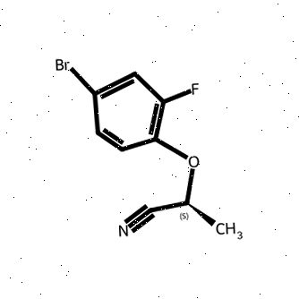 C[C@@H](C#N)Oc1ccc(Br)cc1F